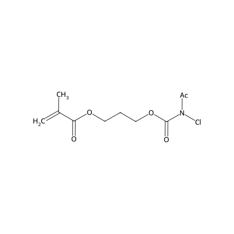 C=C(C)C(=O)OCCCOC(=O)N(Cl)C(C)=O